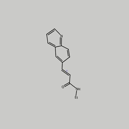 CCNC(=O)/C=C/c1ccc2ncccc2c1